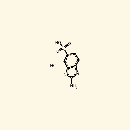 Cl.Nc1nc2ccc(S(=O)(=O)O)cc2s1